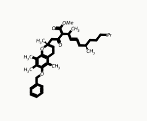 COC(=O)C(C(=O)C[C@]1(C)CCc2c(C)c(OCc3ccccc3)c(C)c(C)c2O1)C(C)C=CC[C@H](C)CCCC(C)C